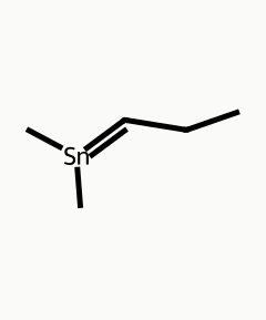 CC[CH]=[Sn]([CH3])[CH3]